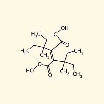 CCC(C)(CC)C(C(=O)OO)=C(C(=O)OO)C(C)(CC)CC